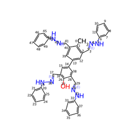 Cc1c(/C=N/Nc2ccccc2)cc(-c2cc(/C=N/Nc3ccccc3)c(O)c(/C=N/Nc3ccccc3)c2)cc1/C=N/Nc1ccccc1